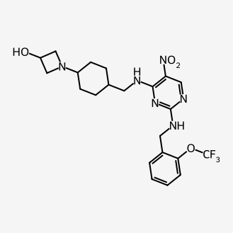 O=[N+]([O-])c1cnc(NCc2ccccc2OC(F)(F)F)nc1NCC1CCC(N2CC(O)C2)CC1